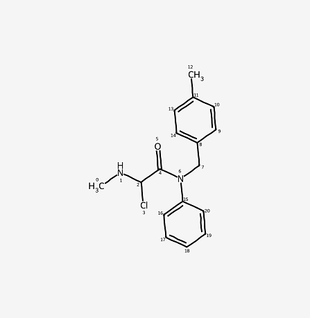 CNC(Cl)C(=O)N(Cc1ccc(C)cc1)c1ccccc1